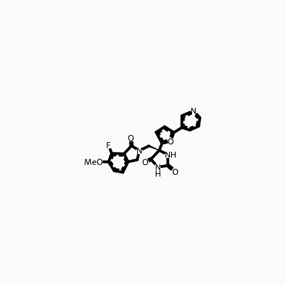 COc1ccc2c(c1F)C(=O)N(C[C@@]1(c3ccc(-c4cccnc4)o3)NC(=O)NC1=O)C2